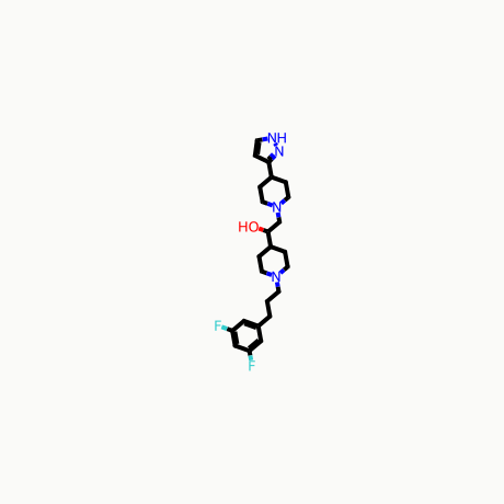 OC(CN1CCC(c2cc[nH]n2)CC1)C1CCN(CCCc2cc(F)cc(F)c2)CC1